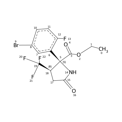 CCOC(=O)[C@]1(c2cc(Br)ccc2F)NC(=O)C[C@H]1C(F)(F)F